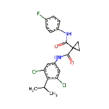 CC(C)c1c(Cl)cc(NC(=O)C2(C(=O)Nc3ccc(F)cc3)CC2)cc1Cl